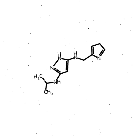 CC(C)Nc1cc(NCC2=CCC=N2)[nH]n1